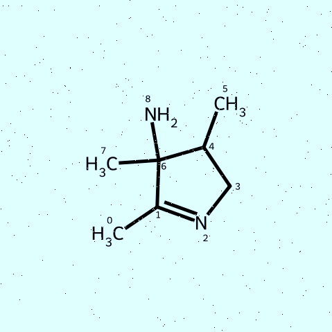 CC1=NCC(C)C1(C)N